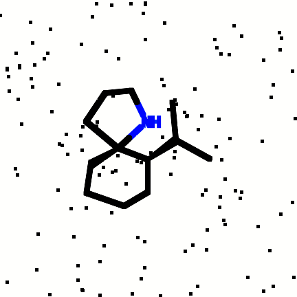 CC(C)[C@H]1CCCC[C@]12CCCN2